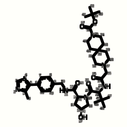 Cc1ncsc1-c1ccc(CNC(=O)[C@@H]2C[C@@H](O)CN2C(=O)[C@@H](NC(=O)CN2CCC3(CC2)CCN(C(=O)OC(C)(C)C)CC3)C(C)(C)C)cc1